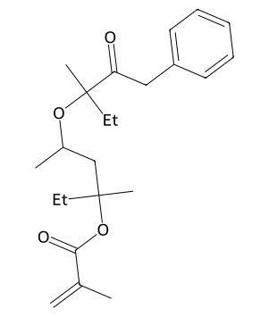 C=C(C)C(=O)OC(C)(CC)CC(C)OC(C)(CC)C(=O)Cc1ccccc1